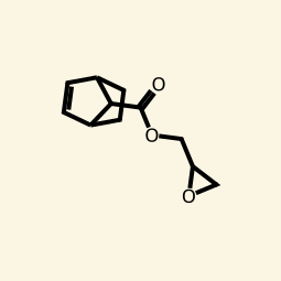 O=C(OCC1CO1)C1C2C=CC1CC2